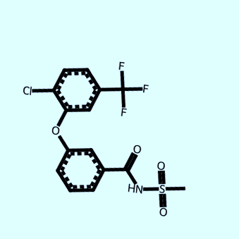 CS(=O)(=O)NC(=O)c1cccc(Oc2cc(C(F)(F)F)ccc2Cl)c1